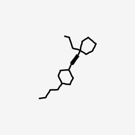 CCCCC1CCC(C#CC2(CCC)CCCCC2)CC1